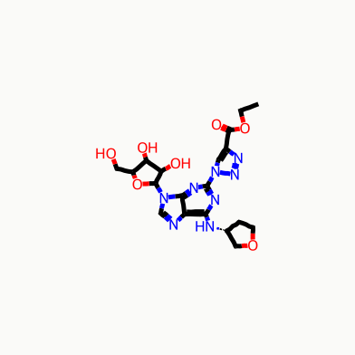 CCOC(=O)c1cn(-c2nc(N[C@@H]3CCOC3)c3ncn(C4OC(CO)C(O)C4O)c3n2)nn1